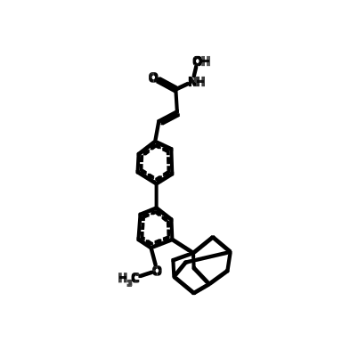 COc1ccc(-c2ccc(C=CC(=O)NO)cc2)cc1C12CC3CC(CC(C3)C1)C2